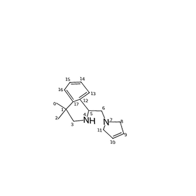 CC1(C)CNC(CN2CC=CC2)c2ccccc21